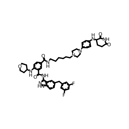 O=C1CCC(Nc2ccc(N3CCN(CCCCCCNC(=O)c4ccc(NC5CCOCC5)c(C(=O)Nc5n[nH]c6ccc(Cc7cc(F)cc(F)c7)cc56)c4)CC3)cc2)C(=O)N1